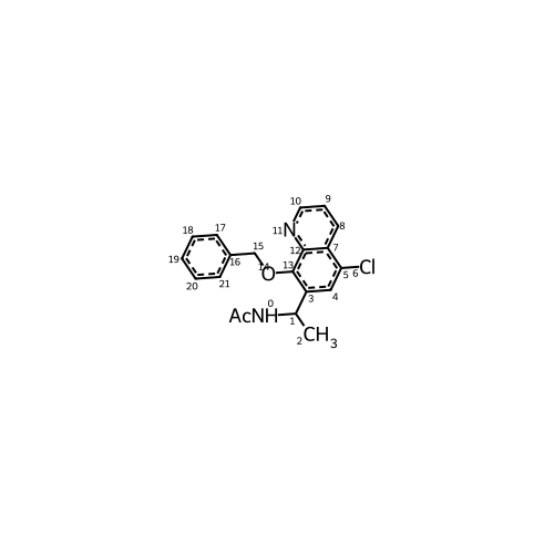 CC(=O)NC(C)c1cc(Cl)c2cccnc2c1OCc1ccccc1